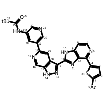 CC(=O)c1ccc(-c2nccc3[nH]c(-c4n[nH]c5cnc(-c6cncc(NC(=O)C(C)(C)C)c6)cc45)nc23)s1